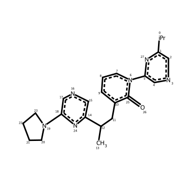 CC(C)c1cncc(-n2cccc(CC(C)c3cncc(N4CCCC4)n3)c2=O)n1